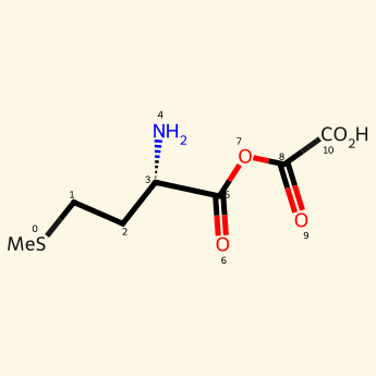 CSCC[C@H](N)C(=O)OC(=O)C(=O)O